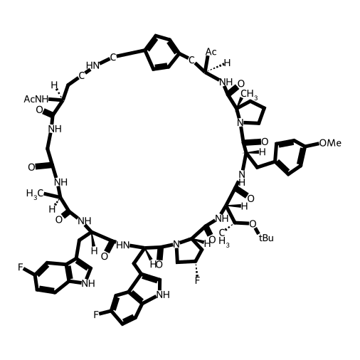 COc1ccc(C[C@@H]2NC(=O)[C@H]([C@@H](C)OC(C)(C)C)NC(=O)[C@@H]3C[C@H](F)CN3C(=O)[C@H](Cc3c[nH]c4ccc(F)cc34)NC(=O)[C@H](Cc3c[nH]c4ccc(F)cc34)NC(=O)[C@@H](C)NC(=O)CNC(=O)[C@@H](NC(C)=O)CCNCc3ccc(cc3)C[C@@H](C(C)=O)NC(=O)[C@]3(C)CCCN3C2=O)cc1